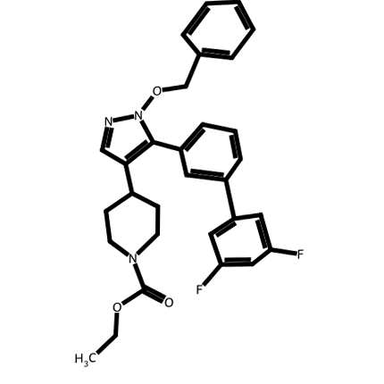 CCOC(=O)N1CCC(c2cnn(OCc3ccccc3)c2-c2cccc(-c3cc(F)cc(F)c3)c2)CC1